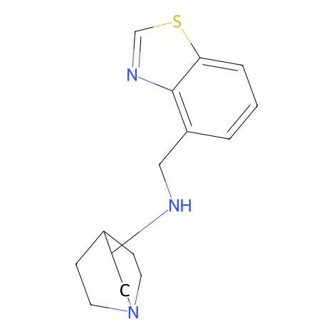 c1cc(CNC2CN3CCC2CC3)c2ncsc2c1